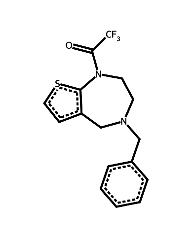 O=C(N1CCN(Cc2ccccc2)Cc2ccsc21)C(F)(F)F